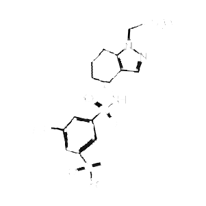 CCOC(=O)Cn1ncc2c1CCC[C@H]2NS(=O)(=O)c1cc(C(F)(F)F)cc(S(=O)(=O)CC)c1